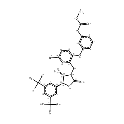 COC(=O)Cc1cccc(Oc2ccc(Br)cc2CN2C(=O)O[C@@H](c3cc(C(F)(F)F)cc(C(F)(F)F)c3)[C@H]2C)c1